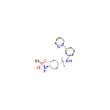 CCS(=O)(=O)N[C@H]1CC[C@H](C(C)(C)Nc2cccc(-c3ccccn3)c2)CC1